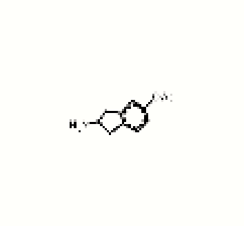 CC(=O)Oc1ccc2c(c1)CC(N)C2